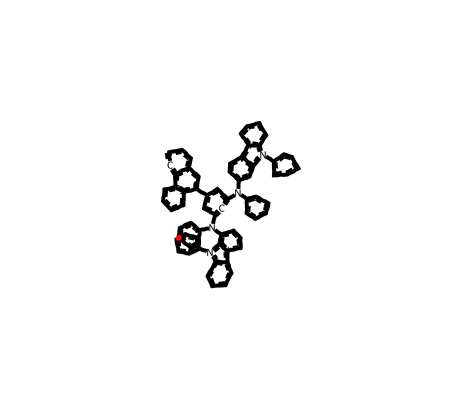 c1ccc(N(c2cc(-c3cc4ccccc4c4ccccc34)cc(N(c3ccccc3)c3cccc4c5ccccc5n(-c5ccccc5)c34)c2)c2ccc3c4ccccc4n(-c4ccccc4)c3c2)cc1